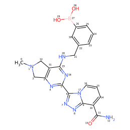 CN1Cc2nc(-c3nnc4c(C(N)=O)cccn34)nc(NCc3cccc(B(O)O)c3)c2C1